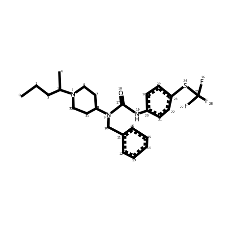 CCCC(C)N1CCC(N(Cc2ccccc2)C(=O)Nc2ccc(SC(F)(F)F)cc2)CC1